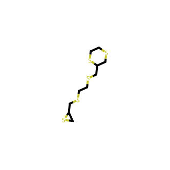 C(CSCC1CS1)SCC1CSCCS1